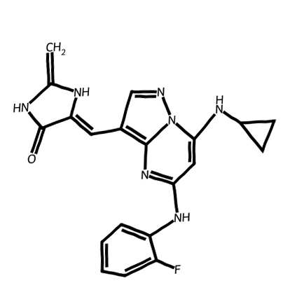 C=c1[nH]c(=O)/c(=C/c2cnn3c(NC4CC4)cc(Nc4ccccc4F)nc23)[nH]1